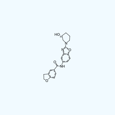 O=C(Nc1ccc2oc(N3CCC[C@@H](O)C3)nc2c1)c1ccc2c(c1)CCO2